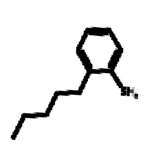 CCCCCc1ccccc1[SiH3]